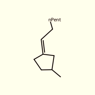 CCCCCCC=C1CCC(C)C1